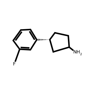 NC1CC[C@@H](c2cccc(F)c2)C1